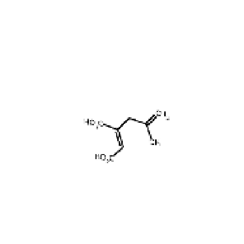 C=C(O)C/C(=C/C(=O)O)C(=O)O